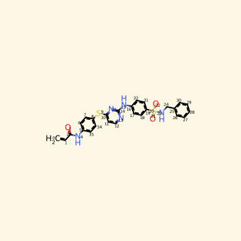 C=CC(=O)Nc1ccc(Sc2ccnc(Nc3ccc(S(=O)(=O)NCc4ccccc4)cc3)n2)cc1